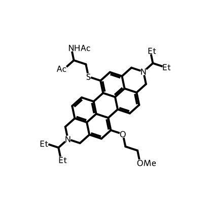 CCC(CC)N1Cc2ccc3c4c(SCC(NC(C)=O)C(C)=O)cc5c6c(ccc(c7c(OCCOC)cc(c2c37)C1)c64)CN(C(CC)CC)C5